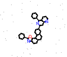 c1ccc(-c2nc3ccc4ccc5cc(-c6cc7ncccc7c(-c7ccccc7)n6)ccc5c4c3o2)cc1